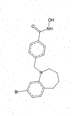 O=C(NO)c1ccc(CN2CCCCc3ccc(Br)cc32)cc1